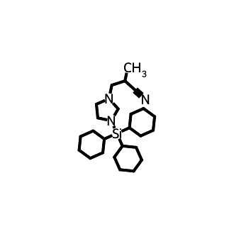 CC(C#N)CN1CCN([Si](C2CCCCC2)(C2CCCCC2)C2CCCCC2)C1